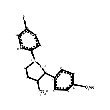 CCOC(=O)C1CCN(c2ccc(F)cn2)CC1c1ccc(OC)cc1